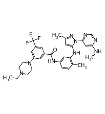 CCN1CCN(c2cc(C(=O)Nc3ccc(C)c(Nc4cc(C)nn4-c4cc(NC)ncn4)c3)cc(C(F)(F)F)c2)CC1